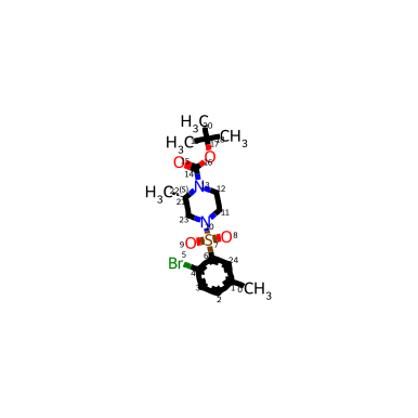 Cc1ccc(Br)c(S(=O)(=O)N2CCN(C(=O)OC(C)(C)C)[C@@H](C)C2)c1